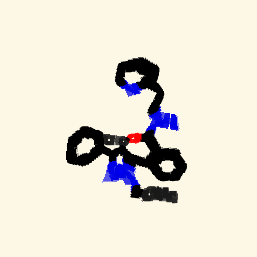 COCn1nc(-c2ccccc2)c(C=O)c1-c1ccccc1C(=O)NCCc1ccccn1